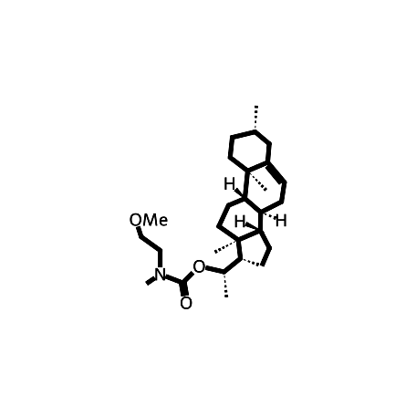 COCCN(C)C(=O)O[C@@H](C)[C@H]1CC[C@H]2[C@@H]3CC=C4C[C@@H](C)CC[C@]4(C)[C@H]3CC[C@]12C